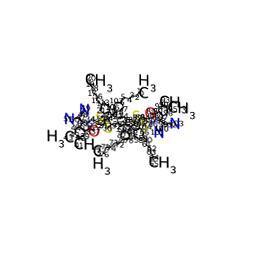 CCCCCCc1ccc(C2(c3ccc(CCCCCC)cc3)c3cc4c(cc3-c3sc5cc(/C=C6\C(=O)c7cc(C)c(C)cc7C6=C(C#N)C#N)sc5c32)C(c2ccc(CCCCCC)cc2)(c2ccc(CCCCCC)cc2)c2c-4sc3cc(/C=C4\C(=O)c5cc(C)c(C)cc5C4=C(C#N)C#N)sc23)cc1